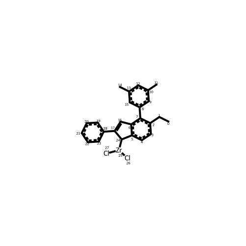 CCc1ccc2c(c1-c1cc(C)cc(C)c1)C=C(c1ccccc1)[CH]2[Zr]([Cl])[Cl]